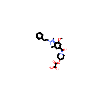 COc1cc(C(=O)N2CCC(OC(=O)C(=O)O)CC2)cc(C)c1N(C)NCCc1ccccc1